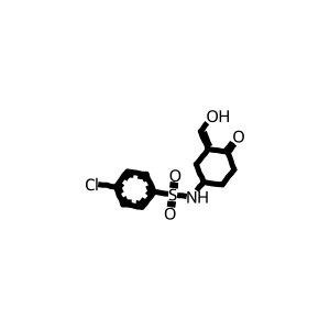 O=C1CCC(NS(=O)(=O)c2ccc(Cl)cc2)CC1=CO